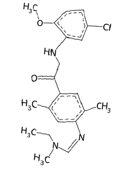 CCN(C)/C=N\c1cc(C)c(C(=O)CNc2cc(Cl)ccc2OC)cc1C